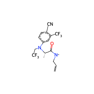 C=CCN(C)C(=O)[C@H](C)N(CC(F)(F)F)c1ccc(C#N)c(C(F)(F)F)c1